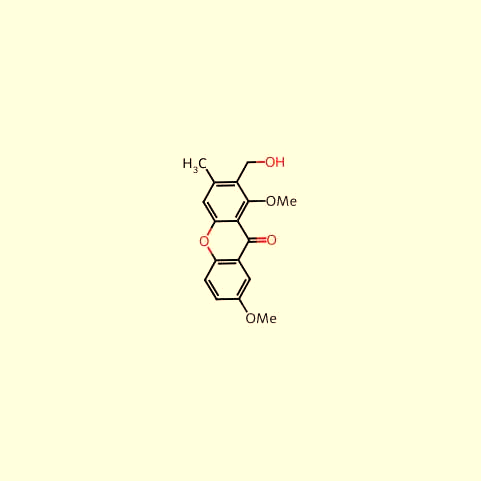 COc1ccc2oc3cc(C)c(CO)c(OC)c3c(=O)c2c1